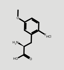 COc1ccc(F)c(C[C@H](N)C(=O)O)c1.Cl